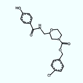 O=C(NCC1CN(C(=O)OCc2ccc(Cl)cc2)CCO1)c1ccc(O)cc1